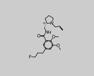 C=CCN1CCC[C@H]1CNC(=O)c1cc(CCCF)cc(OC)c1OC